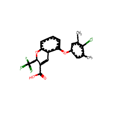 Cc1cc(Oc2cccc3c2C=C(C(=O)O)C(C(F)(F)F)O3)cc(C)c1Cl